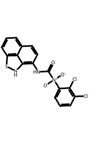 O=C(Nc1ccc2cccc3c2c1NS3)[N+]([O-])([O-])c1cccc(Cl)c1Cl